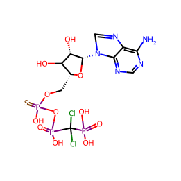 Nc1ncnc2c1ncn2[C@@H]1O[C@H](COP(O)(=S)OP(=O)(O)C(Cl)(Cl)P(=O)(O)O)C(O)[C@@H]1O